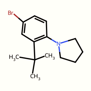 CC(C)(C)c1cc(Br)ccc1N1CCCC1